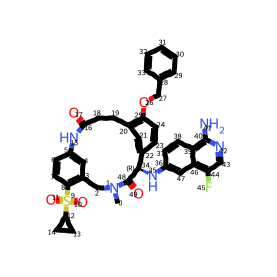 CN1Cc2cc(ccc2S(=O)(=O)C2CC2)NC(=O)CCc2cc(ccc2OCc2ccccc2)[C@@H](Nc2ccc3c(N)ncc(F)c3c2)C1=O